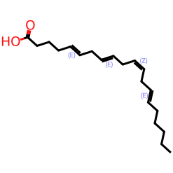 CCCCC/C=C/C/C=C\C/C=C/C/C=C/CCCC(=O)O